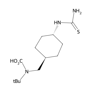 CC(C)(C)N(C[C@H]1CC[C@H](NC(N)=S)CC1)C(=O)O